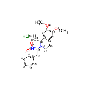 COc1cc2c(cc1OC)C(C)N(C(Cc1ccccc1)[N+](=O)[O-])CC2.Cl